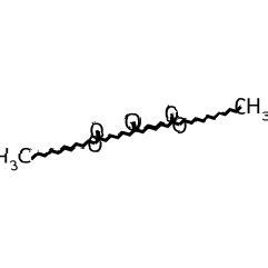 CCCCCCCCCCCOC(=O)CCCCCC(=O)CCCCCC(=O)OCCCCCCCCCCC